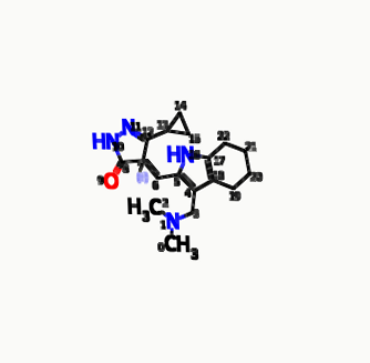 CN(C)Cc1c(/C=C2/C(=O)NN=C2C2CC2)[nH]c2c1CCCC2